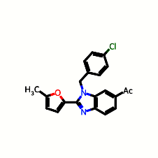 CC(=O)c1ccc2nc(-c3ccc(C)o3)n(Cc3ccc(Cl)cc3)c2c1